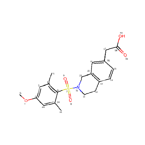 COc1cc(C)c(S(=O)(=O)N2CCc3ccc(CC(=O)O)cc3C2)c(C)c1